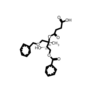 C[C@](COCc1ccccc1)(OC(=O)CCC(=O)O)[C@@H](O)COC(=O)c1ccccc1